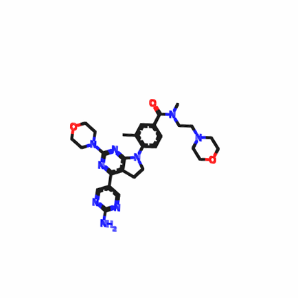 Cc1cc(C(=O)N(C)CCN2CCOCC2)ccc1N1CCc2c(-c3cnc(N)nc3)nc(N3CCOCC3)nc21